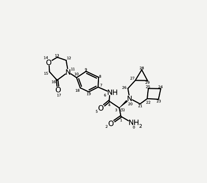 NC(=O)[C@@H](C(=O)Nc1ccc(N2CCOCC2=O)cc1)N(CC1CCC1)CC1CC1